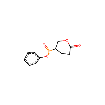 O=C1CCC([PH](=O)Oc2ccccc2)CO1